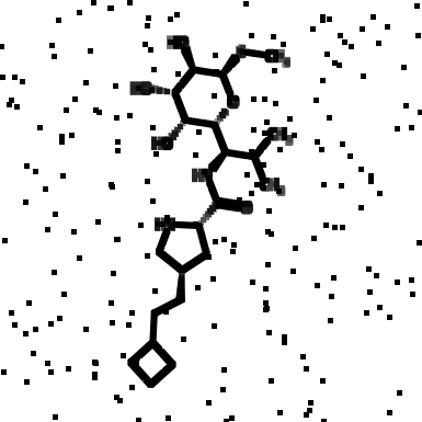 CS[C@H]1O[C@H]([C@H](NC(=O)[C@@H]2C[C@@H](CCC3CCC3)CN2)C(C)C)[C@H](O)[C@H](O)[C@H]1O